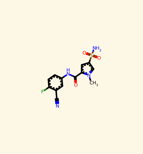 Cn1cc(S(N)(=O)=O)cc1C(=O)Nc1ccc(F)c(C#N)c1